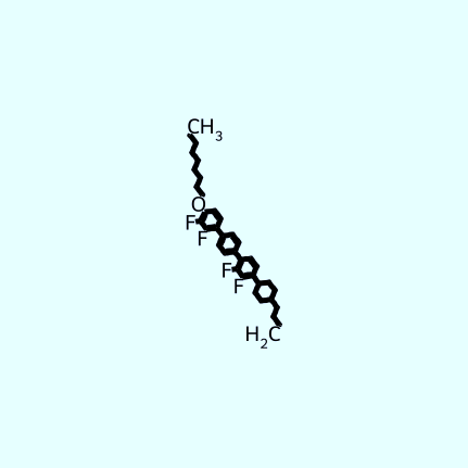 C=CCCC1CCC(c2ccc(-c3ccc(-c4ccc(OCCCCCCCCC)c(F)c4F)cc3)c(F)c2F)CC1